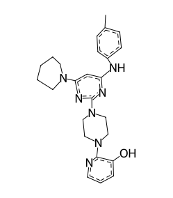 Cc1ccc(Nc2cc(N3CCCCC3)nc(N3CCN(c4ncccc4O)CC3)n2)cc1